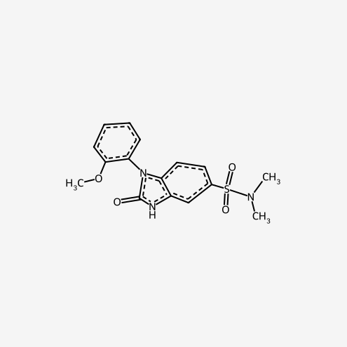 COc1ccccc1-n1c(=O)[nH]c2cc(S(=O)(=O)N(C)C)ccc21